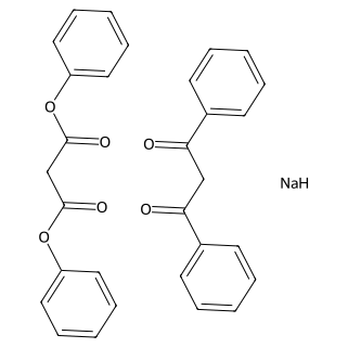 O=C(CC(=O)Oc1ccccc1)Oc1ccccc1.O=C(CC(=O)c1ccccc1)c1ccccc1.[NaH]